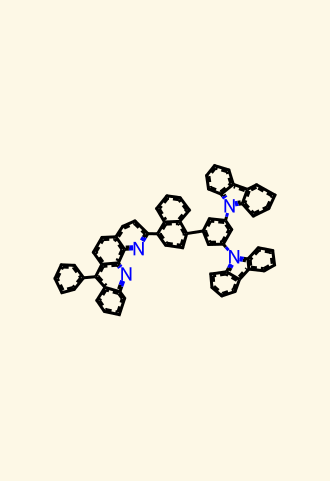 c1ccc(-c2c3ccccc3nc3c2ccc2ccc(-c4ccc(-c5cc(-n6c7ccccc7c7ccccc76)cc(-n6c7ccccc7c7ccccc76)c5)c5ccccc45)nc23)cc1